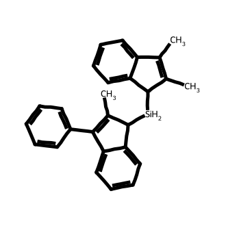 CC1=C(C)c2ccccc2[C]1[SiH2][C]1C(C)=C(c2ccccc2)c2ccccc21